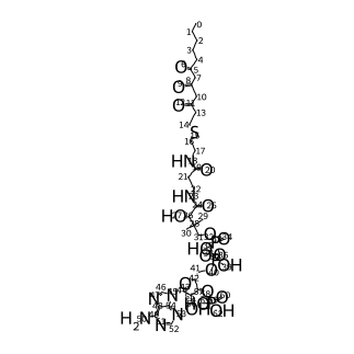 CCCCCC(=O)CC(=O)CC(=O)CCSCCNC(=O)CCNC(=O)[C@H](O)C(C)(C)COP(=O)(O)OP(=O)(O)OC[C@H]1O[C@@H](n2cnc3c(N)ncnc32)[C@H](O)[C@@H]1OP(=O)(O)O